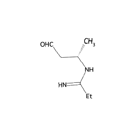 CCC(=N)N[C@@H](C)CC=O